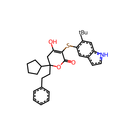 CC(C)(C)c1cc2[nH]ccc2cc1SC1=C(O)CC(CCc2ccccc2)(C2CCCC2)OC1=O